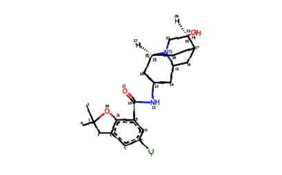 CC1(C)Cc2cc(Cl)cc(C(=O)NC3CC4CC5C[C@@H](C3)N4C[C@H]5O)c2O1